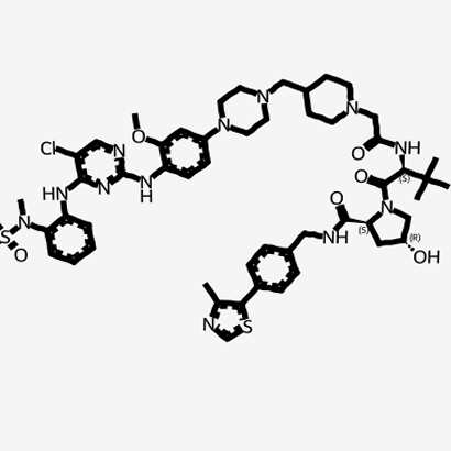 COc1cc(N2CCN(CC3CCN(CC(=O)N[C@H](C(=O)N4C[C@H](O)C[C@H]4C(=O)NCc4ccc(-c5scnc5C)cc4)C(C)(C)C)CC3)CC2)ccc1Nc1ncc(Cl)c(Nc2ccccc2N(C)S(C)(=O)=O)n1